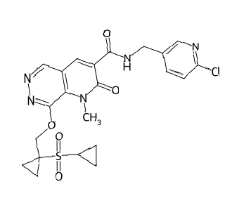 Cn1c(=O)c(C(=O)NCc2ccc(Cl)nc2)cc2cnnc(OCC3(S(=O)(=O)C4CC4)CC3)c21